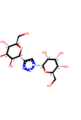 OC[C@H]1O[C@H](c2cn([C@H]3O[C@H](CO)[C@@H](O)[C@@H](O)[C@H]3O)nn2)[C@@H](O)[C@@H](O)[C@@H]1O